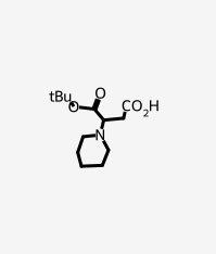 CC(C)(C)OC(=O)C(CC(=O)O)N1CCCCC1